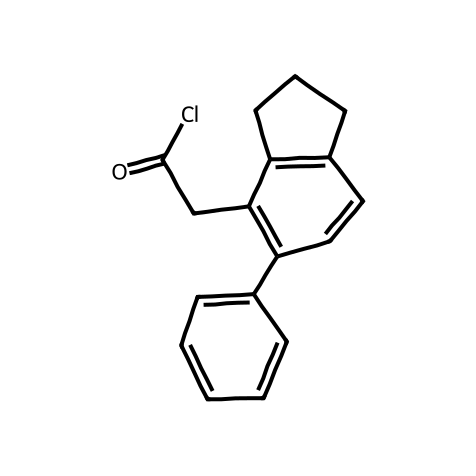 O=C(Cl)Cc1c(-c2ccccc2)ccc2c1CCC2